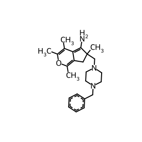 CC1=C(C)C2=C(N)C(C)(CN3CCN(Cc4ccccc4)CC3)CC2=C(C)O1